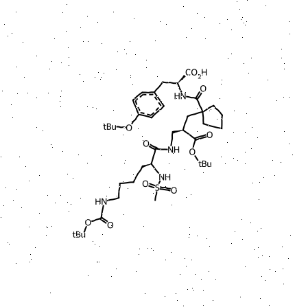 CC(C)(C)OC(=O)NCCCC[C@H](NS(C)(=O)=O)C(=O)NC[C@@H](CC1(C(=O)N[C@@H](Cc2ccc(OC(C)(C)C)cc2)C(=O)O)CCCC1)C(=O)OC(C)(C)C